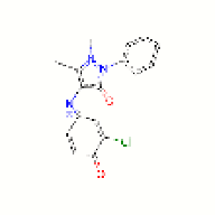 Cc1c(/N=C2/C=CC(=O)C(Cl)=C2)c(=O)n(-c2ccccc2)n1C